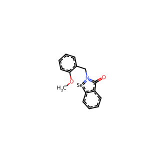 COc1ccccc1Cn1[se]c2ccccc2c1=O